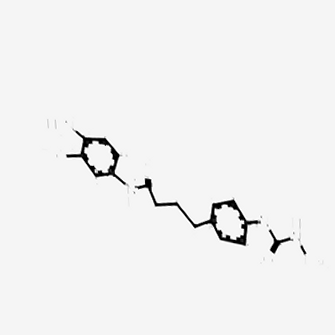 CCCCNC(=O)Nc1ccc(CCCC(=O)Nc2ccc(N)c(C(F)(F)F)c2)cc1